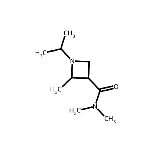 CC(C)N1CC(C(=O)N(C)C)C1C